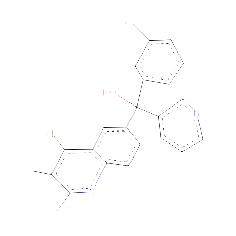 Cc1c(Cl)nc2ccc(C(O)(c3cccnc3)c3cccc(Cl)c3)cc2c1Cl